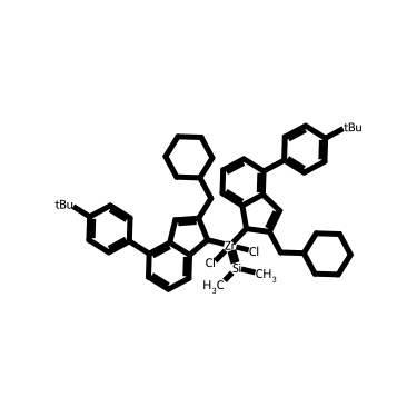 C[Si](C)=[Zr]([Cl])([Cl])([CH]1C(CC2CCCCC2)=Cc2c(-c3ccc(C(C)(C)C)cc3)cccc21)[CH]1C(CC2CCCCC2)=Cc2c(-c3ccc(C(C)(C)C)cc3)cccc21